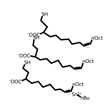 CCCCCCCC/C=C\CCCCCCC(CCS)C(=O)[O-].CCCCCCCC/C=C\CCCCCCC(CCS)C(=O)[O-].CCCCCCCC/C=C\CCCCCCC(CCS)C(=O)[O-].CCC[CH2][Sn+3]